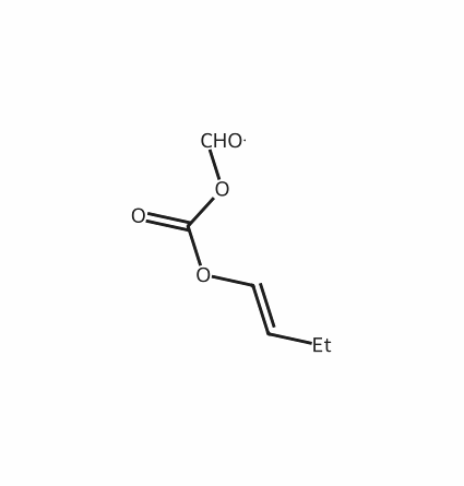 CCC=COC(=O)O[C]=O